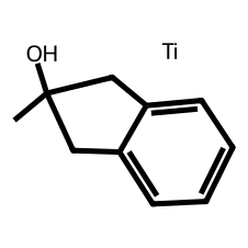 CC1(O)Cc2ccccc2C1.[Ti]